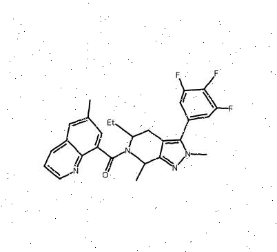 CCC1Cc2c(nn(C)c2-c2cc(F)c(F)c(F)c2)C(C)N1C(=O)c1cc(C)cc2cccnc12